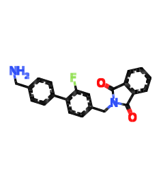 NCc1ccc(-c2ccc(CN3C(=O)c4ccccc4C3=O)cc2F)cc1